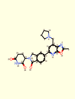 Cc1nc2c(CN3CCCC3)cc(-c3ccc4c(c3)CN(C3CCC(=O)NC3=O)C4=O)nc2o1